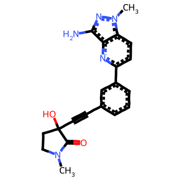 CN1CCC(O)(C#Cc2cccc(-c3ccc4c(n3)c(N)nn4C)c2)C1=O